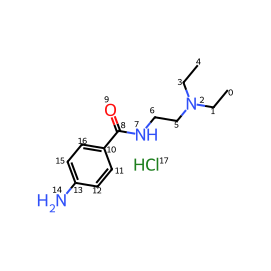 CCN(CC)CCNC(=O)c1ccc(N)cc1.Cl